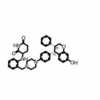 O=C1CCC(Nc2ccccc2CN2CCN(c3ccc([C@H]4c5ccc(O)cc5OC[C@H]4c4ccccc4)cc3)CC2)C(=O)N1